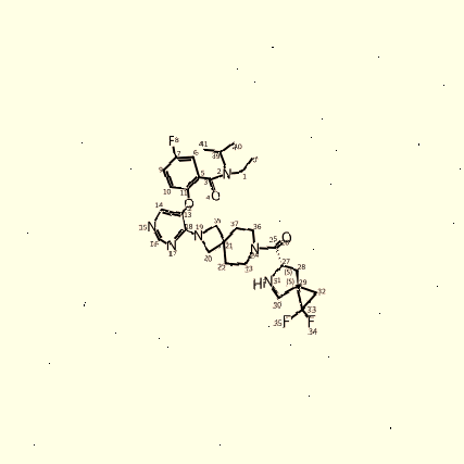 CCN(C(=O)c1cc(F)ccc1Oc1cncnc1N1CC2(CCN(C(=O)[C@@H]3C[C@@]4(CN3)CC4(F)F)CC2)C1)C(C)C